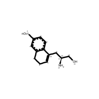 CCCCCCCCc1ccc2c(c1)CCC=C2C[C@H](N)CO